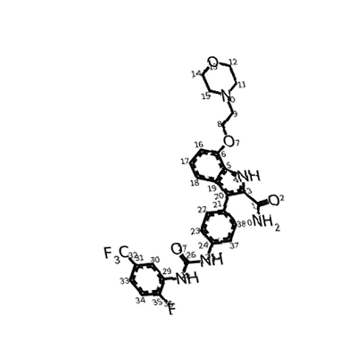 NC(=O)c1[nH]c2c(OCCN3CCOCC3)cccc2c1-c1ccc(NC(=O)Nc2cc(C(F)(F)F)ccc2F)cc1